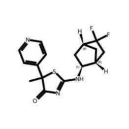 CC1(c2ccncc2)SC(N[C@H]2C[C@H]3C[C@@H]2CC3(F)F)=NC1=O